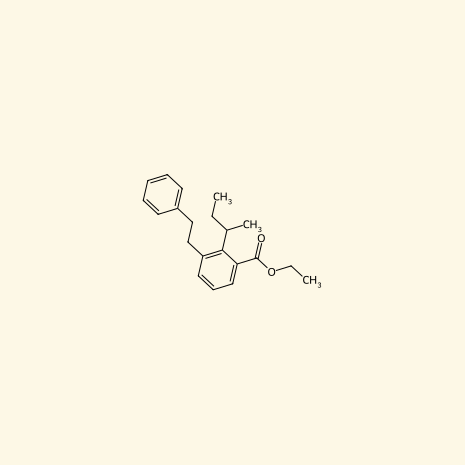 CCOC(=O)c1cccc(CCc2ccccc2)c1C(C)CC